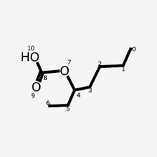 CCCCC(CC)OC(=O)O